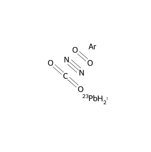 N#N.O=C=O.O=O.[23PbH2].[Ar]